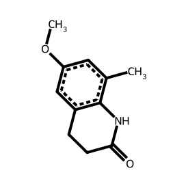 COc1cc(C)c2c(c1)CCC(=O)N2